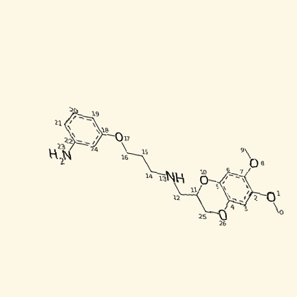 COc1cc2c(cc1OC)OC(CNCCCOc1cccc(N)c1)CO2